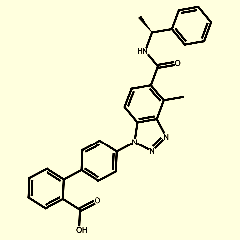 Cc1c(C(=O)N[C@@H](C)c2ccccc2)ccc2c1nnn2-c1ccc(-c2ccccc2C(=O)O)cc1